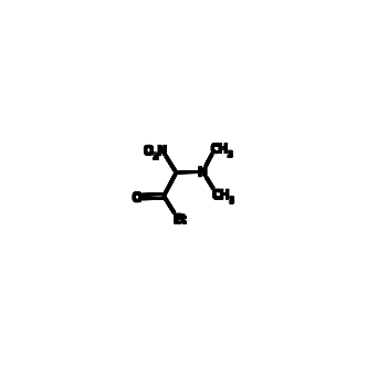 CCC(=O)C(N(C)C)[N+](=O)[O-]